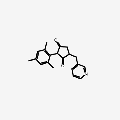 Cc1cc(C)c(C2C(=O)CC(Cc3cccnc3)C2=O)c(C)c1